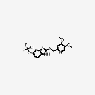 COc1cnc(CSc2nc3cc(OC(F)(F)Cl)ccc3[nH]2)cc1OC